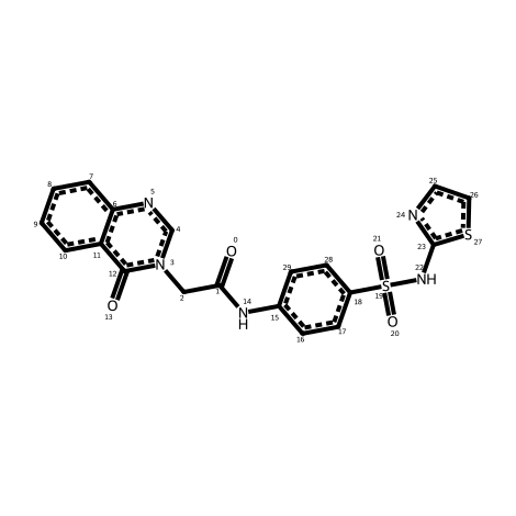 O=C(Cn1cnc2ccccc2c1=O)Nc1ccc(S(=O)(=O)Nc2nccs2)cc1